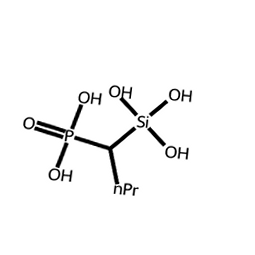 CCCC([Si](O)(O)O)P(=O)(O)O